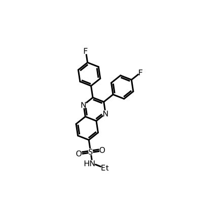 CCNS(=O)(=O)c1ccc2nc(-c3ccc(F)cc3)c(-c3ccc(F)cc3)nc2c1